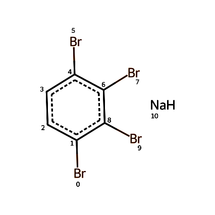 Brc1ccc(Br)c(Br)c1Br.[NaH]